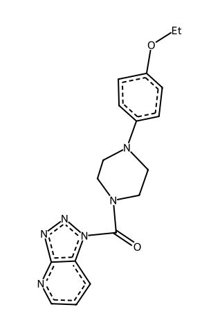 CCOc1ccc(N2CCN(C(=O)n3nnc4ncccc43)CC2)cc1